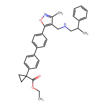 CCOC(=O)C1(c2ccc(-c3ccc(-c4onc(C)c4CNCC(C)c4ccccc4)cc3)cc2)CC1